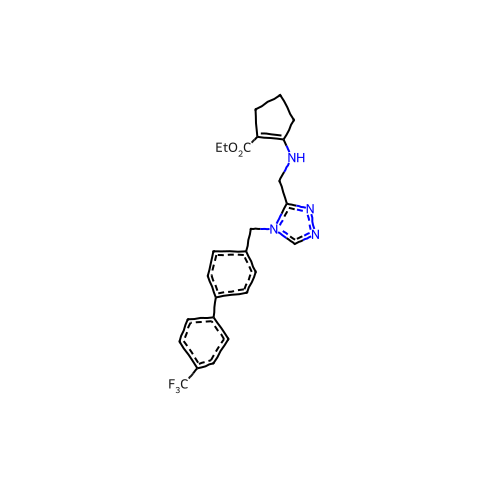 CCOC(=O)C1=C(NCc2nncn2Cc2ccc(-c3ccc(C(F)(F)F)cc3)cc2)CCC1